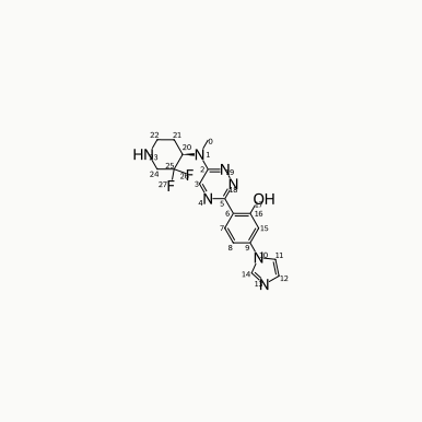 CN(c1cnc(-c2ccc(-n3ccnc3)cc2O)nn1)[C@@H]1CCNCC1(F)F